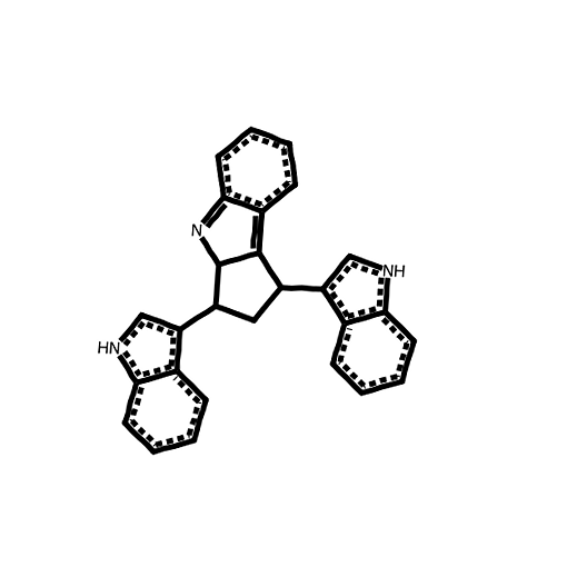 c1ccc2c(c1)=NC1C=2C(c2c[nH]c3ccccc23)CC1c1c[nH]c2ccccc12